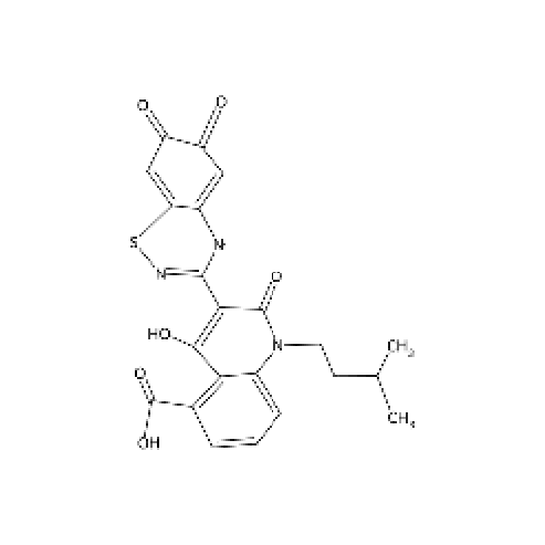 CC(C)CCn1c(=O)c(C2=NSC3=CC(=O)C(=O)C=C3[N]2)c(O)c2c(C(=O)O)cccc21